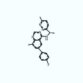 Cc1ccc([C@@H](C)Nc2ncnc3c(I)cc(-c4ccc(F)cc4)cc23)nn1